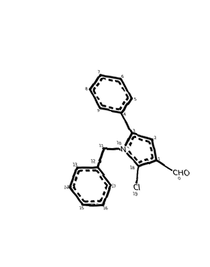 O=Cc1cc(-c2ccccc2)n(Cc2ccccc2)c1Cl